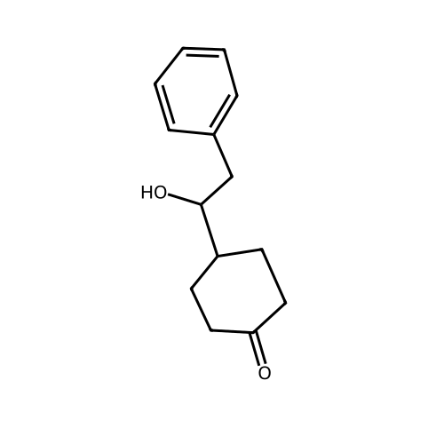 O=C1CCC(C(O)Cc2ccccc2)CC1